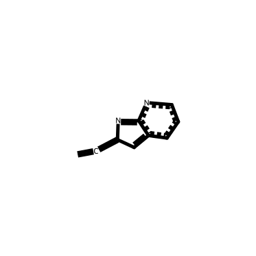 C=C=C1C=c2cccnc2=N1